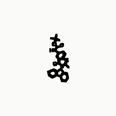 Cc1nc2ccc(NC(=O)OC(C)(C)C)cc2c(=O)n1C1c2ccccc2-c2ccccc21